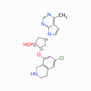 Cc1ncnc2c1ccn2[C@@H]1C[C@H](Oc2cc(Cl)cc3c2CNCC3)[C@@H](O)C1